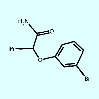 CC(C)C(Oc1cccc(Br)c1)C(N)=O